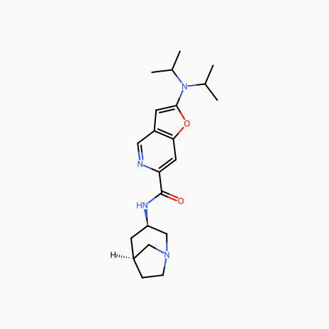 CC(C)N(c1cc2cnc(C(=O)N[C@@H]3C[C@@H]4CCN(C4)C3)cc2o1)C(C)C